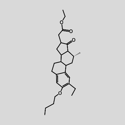 CCCCOc1cc2c(cc1CC)C1C[C@@H](C)C3C(=O)C(CC(=O)OCC)CC3C1CC2